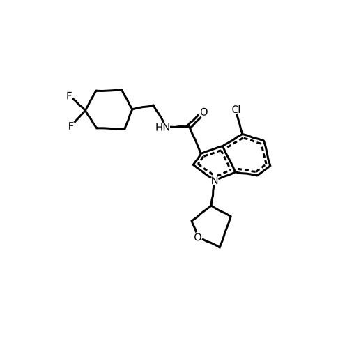 O=C(NCC1CCC(F)(F)CC1)c1cn(C2CCOC2)c2cccc(Cl)c12